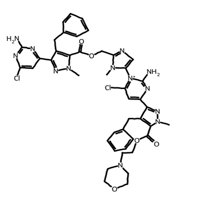 Cn1nc(-c2cc(Cl)nc(N)n2)c(Cc2ccccc2)c1C(=O)OCc1ncc(-[n+]2c(Cl)cc(-c3nn(C)c(C(=O)OCCN4CCOCC4)c3Cc3ccccc3)nc2N)n1C